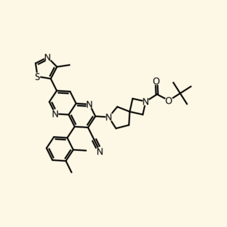 Cc1cccc(-c2c(C#N)c(N3CCC4(CN(C(=O)OC(C)(C)C)C4)C3)nc3cc(-c4scnc4C)cnc23)c1C